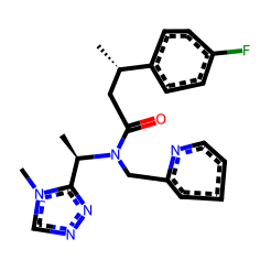 C[C@H](c1nncn1C)N(Cc1ccccn1)C(=O)C[C@H](C)c1ccc(F)cc1